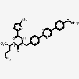 CCCCCCCOc1ccc(-c2cnc(-c3ccc(C[C@H](NC(=O)c4ccc(C(C)(C)C)s4)C(=O)N[C@@H](CCN)C(=O)O)cc3)nc2)cc1